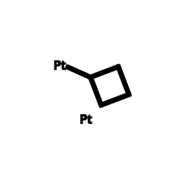 [Pt].[Pt][CH]1CCC1